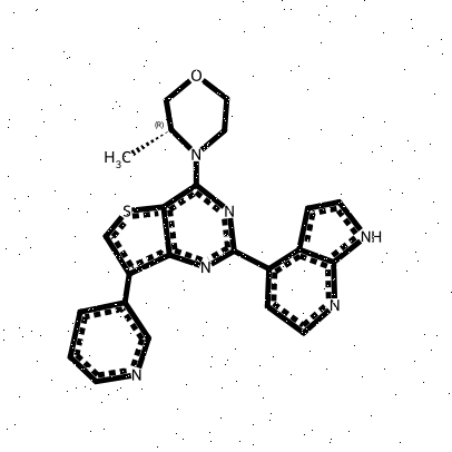 C[C@@H]1COCCN1c1nc(-c2ccnc3[nH]ccc23)nc2c(-c3cccnc3)csc12